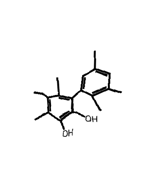 Cc1cc(C)c(C)c(-c2c(C)c(C)c(C)c(O)c2O)c1